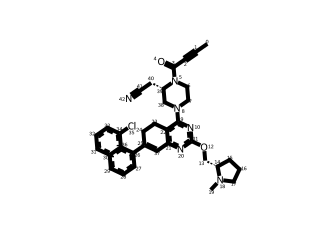 CC#CC(=O)N1CCN(c2nc(OC[C@@H]3CCCN3C)nc3c2CCC(c2cccc4cccc(Cl)c24)=C3)C[C@@H]1CC#N